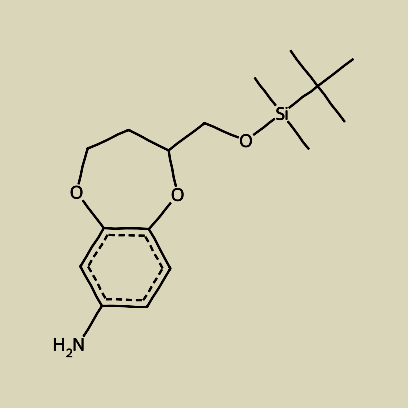 CC(C)(C)[Si](C)(C)OCC1CCOc2cc(N)ccc2O1